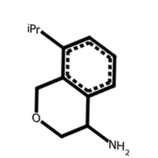 CC(C)c1cccc2c1COCC2N